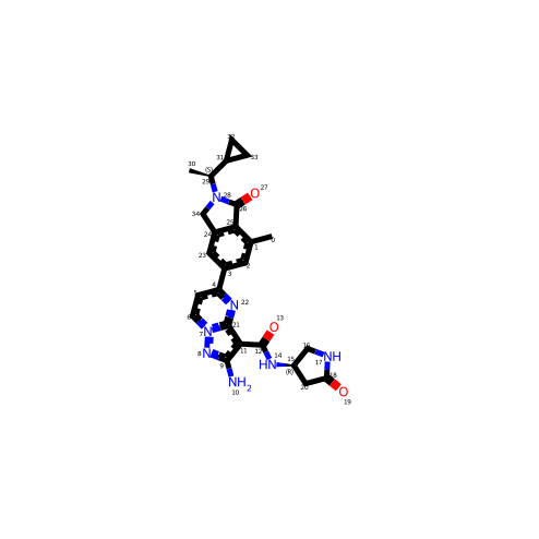 Cc1cc(-c2ccn3nc(N)c(C(=O)N[C@H]4CNC(=O)C4)c3n2)cc2c1C(=O)N([C@@H](C)C1CC1)C2